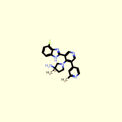 Cc1cc(-c2cncc(-c3nc4c(F)cccc4[nH]3)c2N2CC[C@](C)(N)C2)ccn1